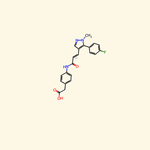 Cn1ncc(/C=C/C(=O)Nc2ccc(CC(=O)O)cc2)c1-c1ccc(F)cc1